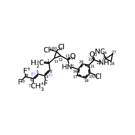 C=C(/C=C(F)\C=C(/C)C(F)F)C1C(C(=O)Nc2ccc(Cl)c(C(=O)NC3(C#N)CC3)c2)C1(Cl)Cl